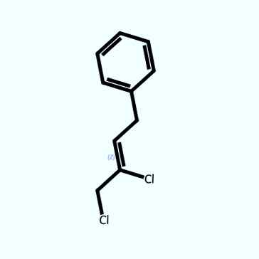 ClC/C(Cl)=C/Cc1ccccc1